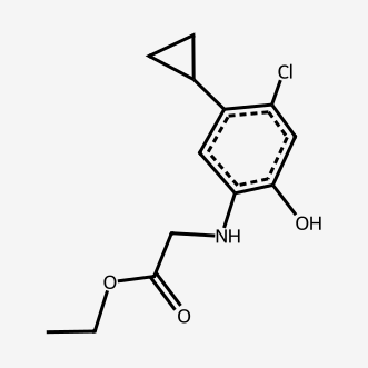 CCOC(=O)CNc1cc(C2CC2)c(Cl)cc1O